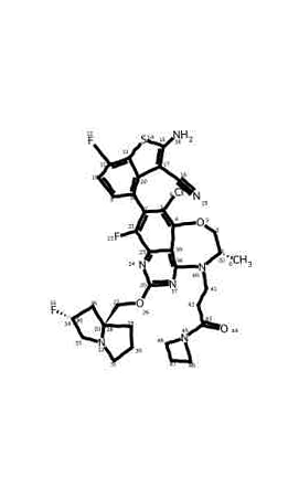 C[C@H]1COc2c(Cl)c(-c3ccc(F)c4sc(N)c(C#N)c34)c(F)c3nc(OC[C@@]45CCCN4C[C@H](F)C5)nc(c23)N1CCC(=O)N1CCC1